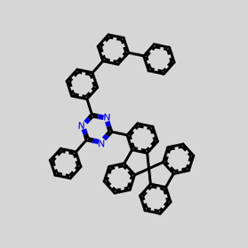 c1ccc(-c2cccc(-c3cccc(-c4nc(-c5ccccc5)nc(-c5cccc6c5-c5ccccc5C65c6ccccc6-c6ccccc65)n4)c3)c2)cc1